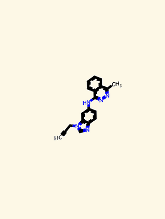 C#CCn1cnc2ccc(Nc3nnc(C)c4ccccc34)cc21